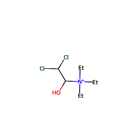 CC[N+](CC)(CC)C(O)C(Cl)Cl